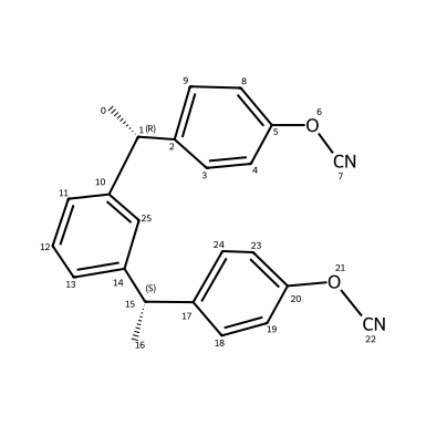 C[C@H](c1ccc(OC#N)cc1)c1cccc([C@@H](C)c2ccc(OC#N)cc2)c1